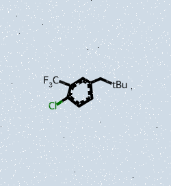 CC(C)(C)Cc1ccc(Cl)c(C(F)(F)F)c1